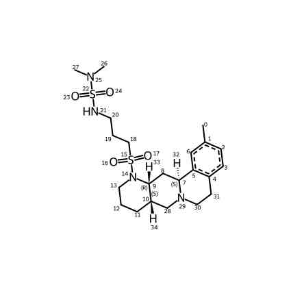 Cc1ccc2c(c1)[C@@H]1C[C@@H]3[C@@H](CCCN3S(=O)(=O)CCCNS(=O)(=O)N(C)C)CN1CC2